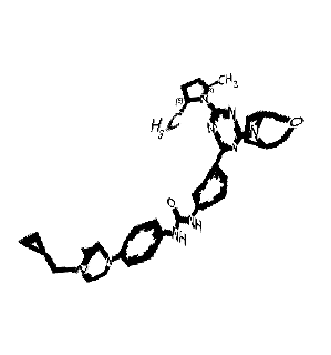 C[C@@H]1CC[C@H](C)N1c1nc(-c2ccc(NC(=O)Nc3ccc(N4CCN(CC5CC5)CC4)cc3)cc2)nc(N2C3CCC2COC3)n1